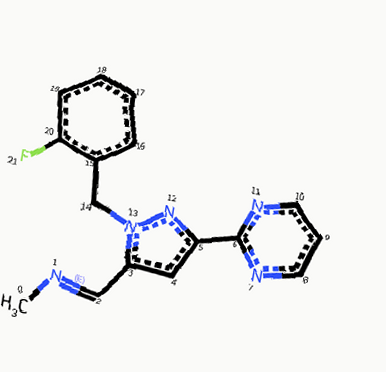 C/N=C/c1cc(-c2ncccn2)nn1Cc1ccccc1F